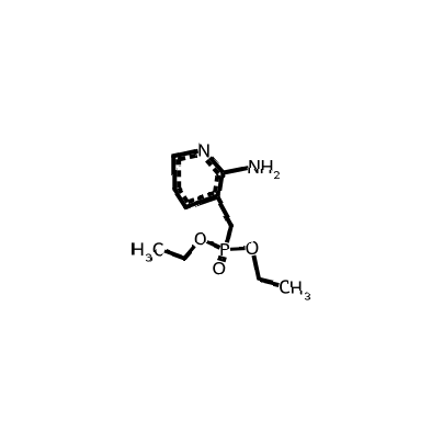 CCOP(=O)(Cc1cccnc1N)OCC